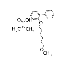 C=C(C)C(=O)O.COCCCCCCOc1ccccc1-c1ccccc1